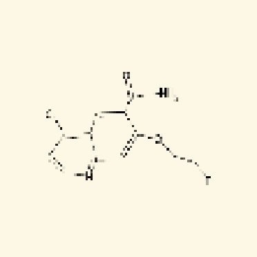 NC(=O)c1cc2c(Cl)ccnc2cc1OCCF